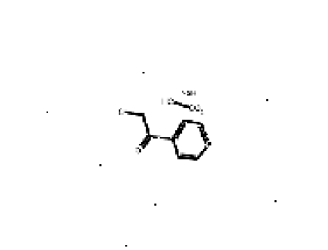 O=C(CCl)c1ccccc1.O=C(O)O.[NaH]